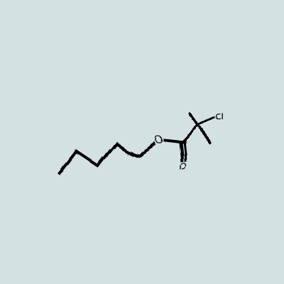 CCCCCOC(=O)C(C)(C)Cl